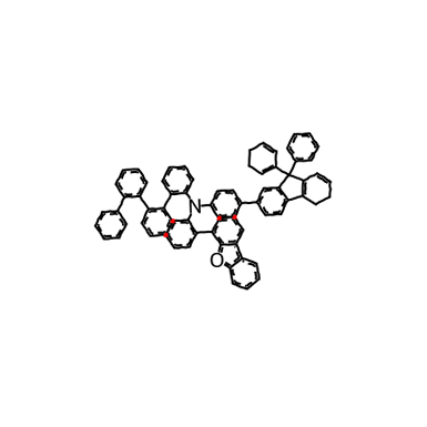 C1=CC(C2(c3ccccc3)C3=C(CCC=C3)c3ccc(-c4ccc(N(c5ccccc5-c5ccccc5-c5ccccc5-c5ccccc5)c5ccccc5-c5cccc6c5oc5ccccc56)cc4)cc32)=CCC1